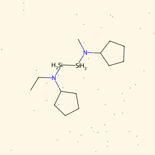 CCN([SiH2][SiH2]N(C)C1CCCC1)C1CCCC1